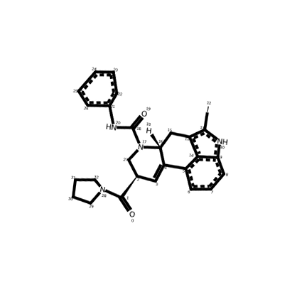 O=C([C@@H]1C=C2c3cccc4[nH]c(I)c(c34)C[C@H]2N(C(=O)Nc2ccccc2)C1)N1CCCC1